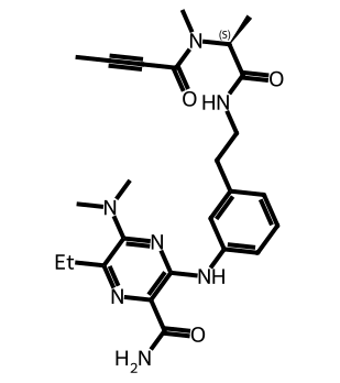 CC#CC(=O)N(C)[C@@H](C)C(=O)NCCc1cccc(Nc2nc(N(C)C)c(CC)nc2C(N)=O)c1